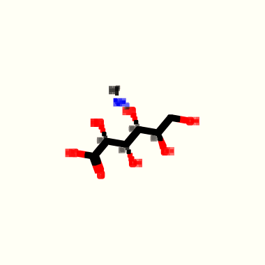 N.O=C(O)[C@H](O)[C@@H](O)[C@H](O)[C@H](O)CO.[Hf]